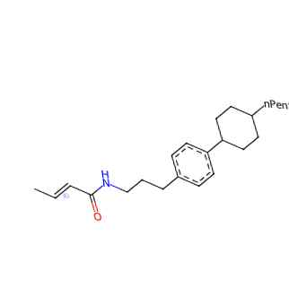 C/C=C/C(=O)NCCCc1ccc(C2CCC(CCCCC)CC2)cc1